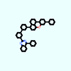 c1ccc(-c2ccc3c(c2)Oc2ccc(-c4cccc(-c5cccc(-c6nc(-c7ccccc7)c7ccccc7n6)c5)c4)c4cccc-3c24)cc1